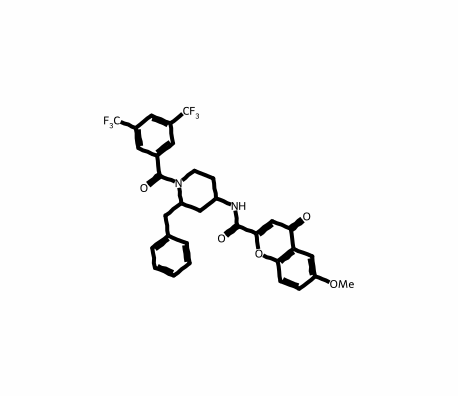 COc1ccc2oc(C(=O)NC3CCN(C(=O)c4cc(C(F)(F)F)cc(C(F)(F)F)c4)C(Cc4ccccc4)C3)cc(=O)c2c1